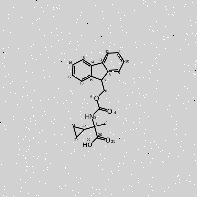 C[C@@](NC(=O)OCC1c2ccccc2-c2ccccc21)(C(=O)O)C1CC1